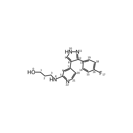 OCCCNc1cc(-c2c[nH]nc2-c2ccc(F)cc2)ccn1